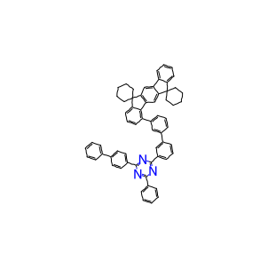 c1ccc(-c2ccc(-c3nc(-c4ccccc4)nc(-c4cccc(-c5cccc(-c6cccc7c6-c6cc8c(cc6C76CCCCC6)-c6ccccc6C86CCCCC6)c5)c4)n3)cc2)cc1